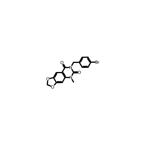 Cn1c(=O)n(Cc2ccc(Br)cc2)c(=O)c2cc3c(cc21)OCO3